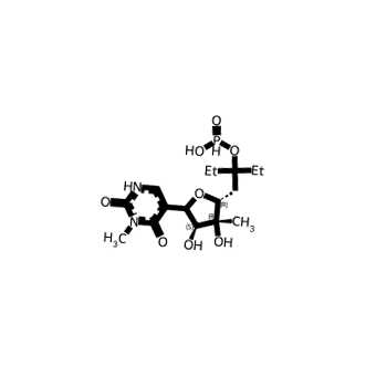 CCC(CC)(C[C@H]1OC(c2c[nH]c(=O)n(C)c2=O)[C@H](O)[C@@]1(C)O)O[PH](=O)O